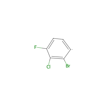 Fc1cc[c]c(Br)c1Cl